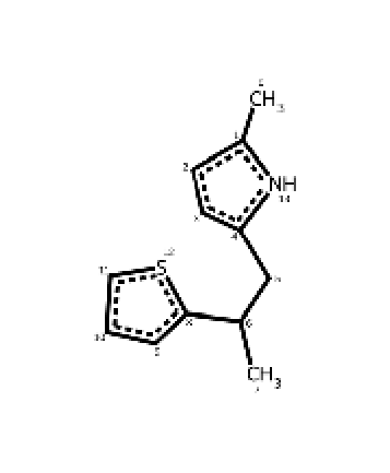 Cc1ccc(CC(C)c2cccs2)[nH]1